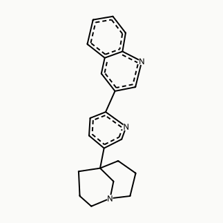 c1ccc2ncc(-c3ccc(C45CCCN(CCC4)C5)cn3)cc2c1